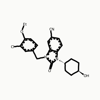 CCOc1ccc(Cn2c(=O)n([C@H]3CC[C@H](O)CC3)c3ccc(C#N)cc32)cc1Cl